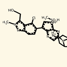 CS(=O)(=O)O.Cn1nc2ccc(-c3c[nH]c4nc(N5C6CCC5CC(N)C6)cnc34)c(Cl)c2c1CO